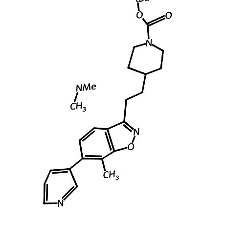 CNC.Cc1c(-c2cccnc2)ccc2c(CCC3CCN(C(=O)OC(C)(C)C)CC3)noc12